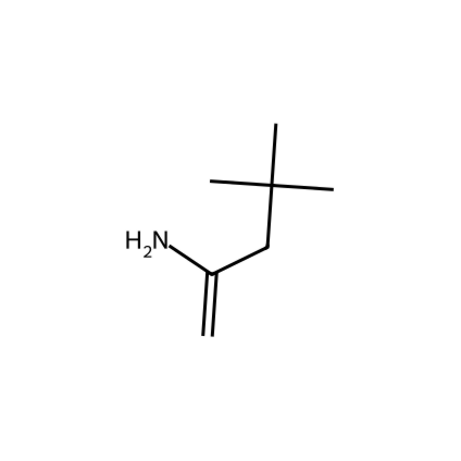 C=C(N)CC(C)(C)C